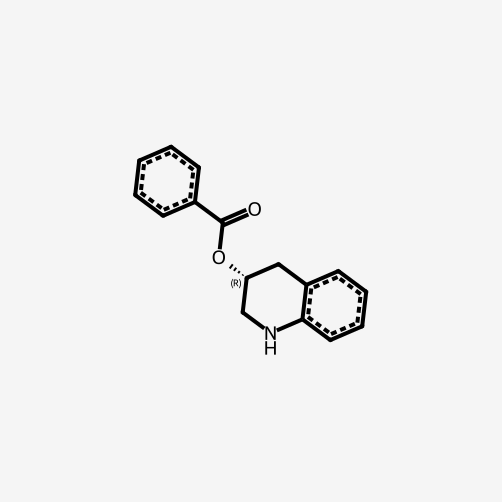 O=C(O[C@H]1CNc2ccccc2C1)c1ccccc1